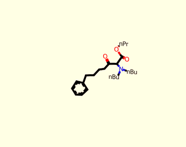 CCCCN(CCCC)C(C(=O)CCCCc1ccccc1)C(=O)OCCC